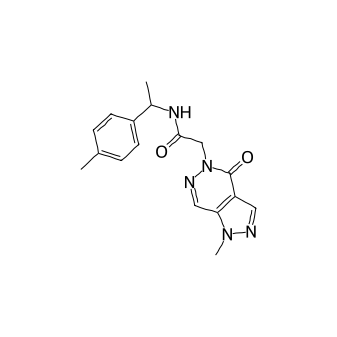 Cc1ccc(C(C)NC(=O)Cn2ncc3c(cnn3C)c2=O)cc1